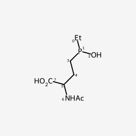 CCP(O)CCC(NC(C)=O)C(=O)O